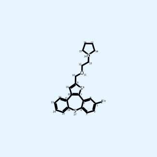 Fc1ccc2c(c1)-c1sc(COCCN3CCCC3)cc1-c1ccccc1S2